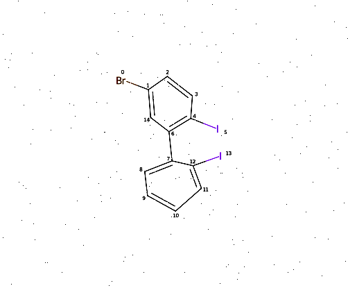 Brc1ccc(I)c(-c2ccccc2I)c1